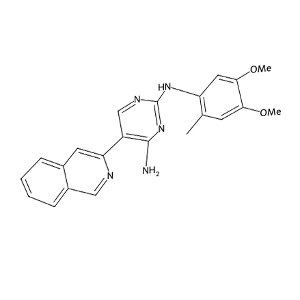 COc1cc(C)c(Nc2ncc(-c3cc4ccccc4cn3)c(N)n2)cc1OC